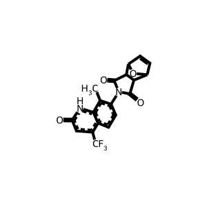 Cc1c(N2C(=O)C3C4C=CC(O4)C3C2=O)ccc2c(C(F)(F)F)cc(=O)[nH]c12